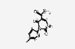 Cc1ccc(-n2c(=O)[nH]cc(C(N)=O)c2=O)nc1